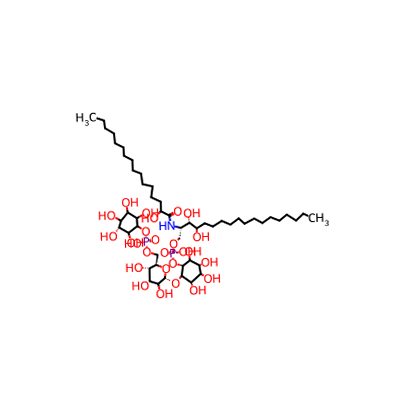 CCCCCCCCCCCCCCC(O)C(=O)N[C@@H](COP(=O)(O)O[C@H]1C(O)C(O)C(O)[C@@H](O)C1O[C@H]1O[C@H](COP(=O)(O)OC2C(O)C(O)C(O)[C@@H](O)C2O)[C@@H](O)C(O)C1O)[C@H](O)[C@H](O)CCCCCCCCCCCCCC